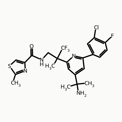 Cc1nc(C(=O)NCC(C)(c2cc(C(C)(C)N)cc(-c3ccc(F)c(Cl)c3)n2)C(F)(F)F)cs1